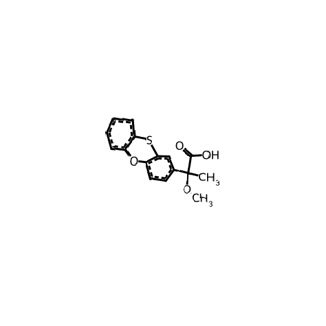 COC(C)(C(=O)O)c1ccc2c(c1)Sc1ccccc1O2